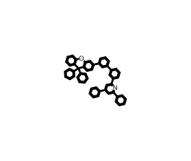 c1ccc(-c2cc(-c3ccccc3)nc(-c3cccc(-c4cccc(-c5ccc6c(c5)Oc5ccccc5C6(c5ccccc5)c5ccccc5)c4)c3)c2)cc1